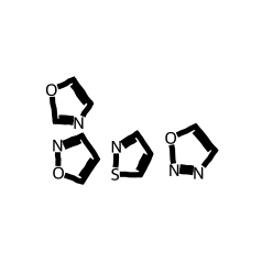 c1cnoc1.c1cnsc1.c1cocn1.c1conn1